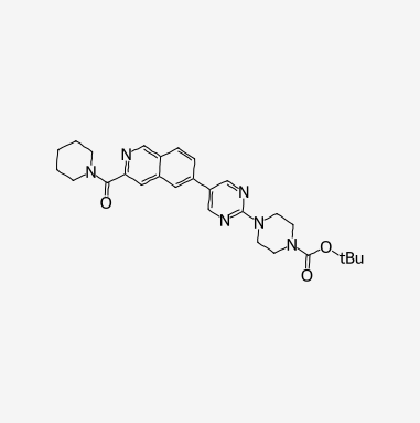 CC(C)(C)OC(=O)N1CCN(c2ncc(-c3ccc4cnc(C(=O)N5CCCCC5)cc4c3)cn2)CC1